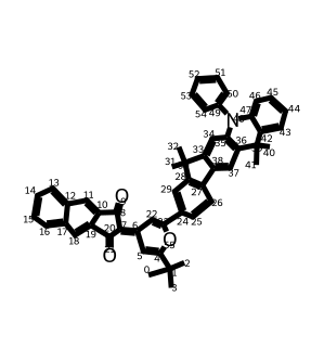 CC(C)(C)C1=CC(=C2C(=O)c3cc4ccccc4cc3C2=O)C=C(c2ccc3c(c2)C(C)(C)c2cc4c(cc2-3)C(C)(C)c2ccccc2N4c2ccccc2)O1